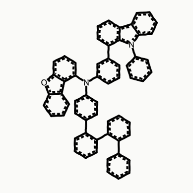 c1ccc(-c2ccccc2-c2ccccc2-c2ccc(N(c3cccc(-c4cccc5c6ccccc6n(-c6ccccc6)c45)c3)c3cccc4oc5ccccc5c34)cc2)cc1